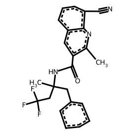 Cc1nc2c(C#N)cccc2cc1C(=O)NC(C)(Cc1ccccc1)CC(F)(F)F